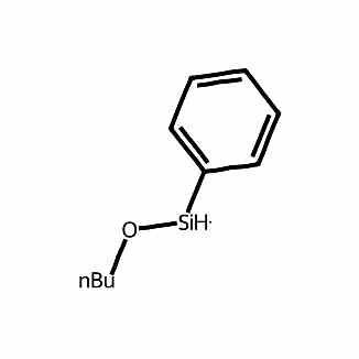 CCCCO[SiH]c1ccccc1